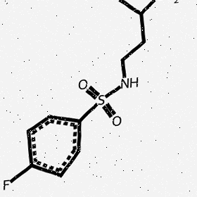 CC(CCNS(=O)(=O)c1ccc(F)cc1)C(=O)O